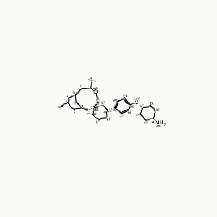 CCC1CC2CC(C)CC(C2)C[C@]2(CCC[C@@H](c3ccc(O[C@H]4CC[C@@H](N)CC4)cc3)C2)OO1